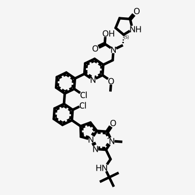 COc1nc(-c2cccc(-c3cccc(-c4cc5c(=O)n(C)c(CNC(C)(C)C)nn5c4)c3Cl)c2Cl)ccc1CN(C[C@@H]1CCC(=O)N1)C(=O)O